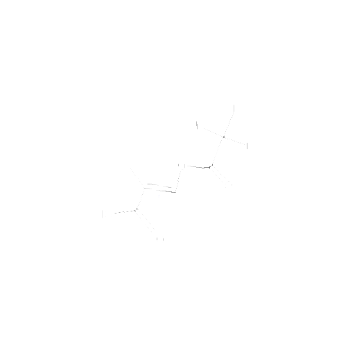 C/C(=C\OC(=O)C(F)(F)F)C(=O)O